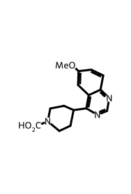 COc1ccc2ncnc(C3CCN(C(=O)O)CC3)c2c1